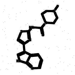 CN1CCN(C(=O)Nc2nc(-c3c[nH]c4ncccc34)cs2)CC1